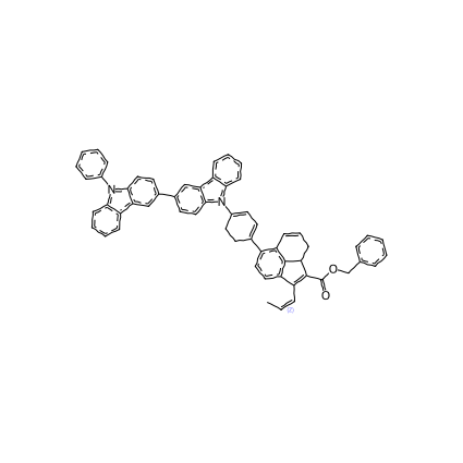 C/C=C\C1=C(C(=O)OCc2ccccc2)C2CC=Cc3c(C4=CC=C(n5c6ccccc6c6cc(-c7ccc8c(c7)c7ccccc7n8-c7ccccc7)ccc65)CC4)ccc1c32